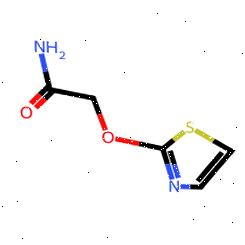 NC(=O)COc1nccs1